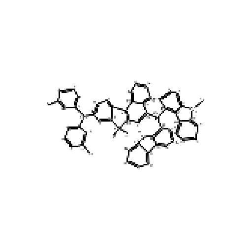 Cc1cccc(N(c2cccc(C)c2)c2ccc3c(c2)C(C)(C)c2cc(N(c4cccc5c4sc4ccccc45)c4cccc5c4c4ccccc4n5C)c4ccccc4c2-3)c1